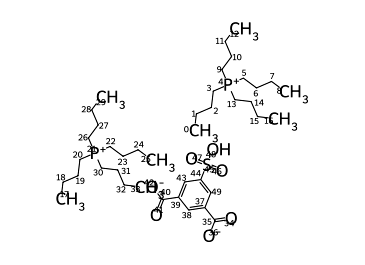 CCCC[P+](CCCC)(CCCC)CCCC.CCCC[P+](CCCC)(CCCC)CCCC.O=C([O-])c1cc(C(=O)[O-])cc(S(=O)(=O)O)c1